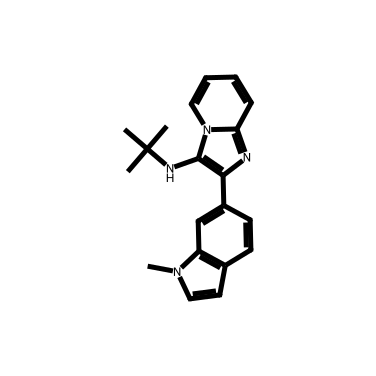 Cn1ccc2ccc(-c3nc4ccccn4c3NC(C)(C)C)cc21